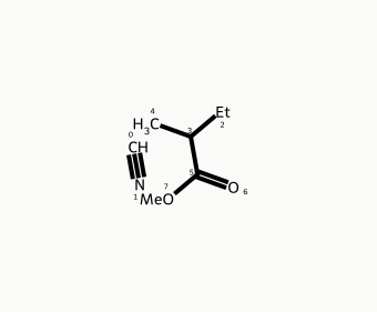 C#N.CCC(C)C(=O)OC